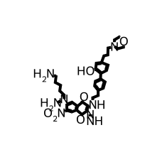 N=NC1=C(NCCc2ccc(-c3ccc(CCCN4CCOCC4)cc3O)cc2)C(=O)c2cc(N(N)CCCCCN)c([N+](=O)[O-])cc2C1=O